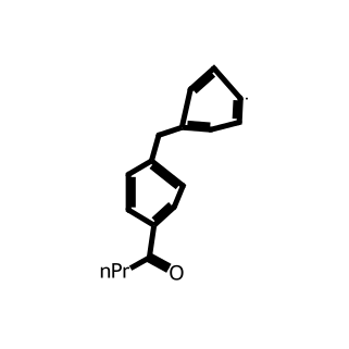 CCCC(=O)c1ccc(Cc2cc[c]cc2)cc1